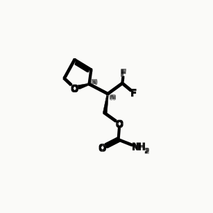 NC(=O)OC[C@H](C(F)F)[C@@H]1C=CCO1